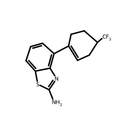 Nc1nc2c(C3=CCC(C(F)(F)F)CC3)cccc2s1